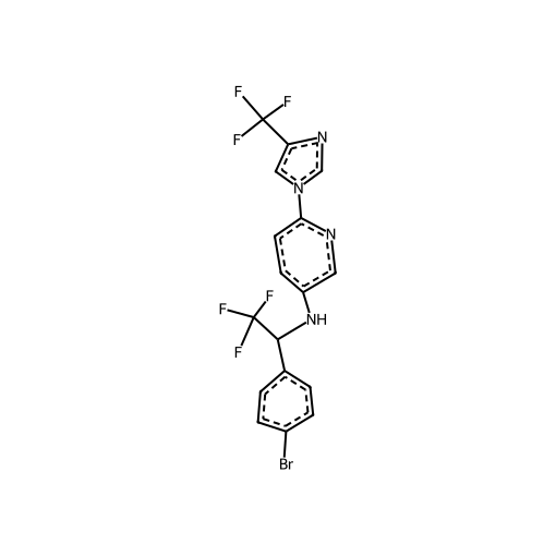 FC(F)(F)c1cn(-c2ccc(NC(c3ccc(Br)cc3)C(F)(F)F)cn2)cn1